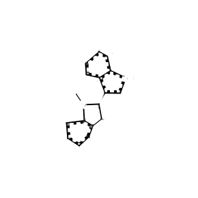 CN1c2ccccc2C[C@@H]1c1c[nH]c2ccccc12